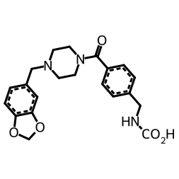 O=C(O)NCc1ccc(C(=O)N2CCN(Cc3ccc4c(c3)OCO4)CC2)cc1